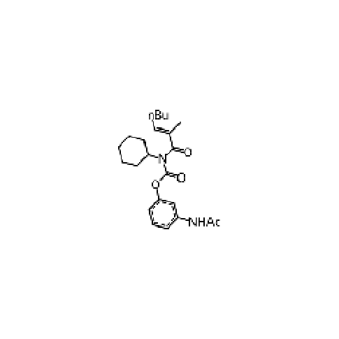 CCCCC=C(C)C(=O)N(C(=O)Oc1cccc(NC(C)=O)c1)C1CCCCC1